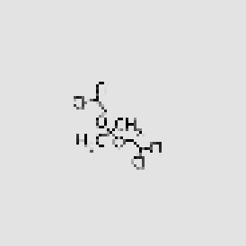 CC(C)(OCC(Cl)Cl)OCC(Cl)Cl